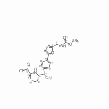 CC(C)(C)OC(=O)NCc1ncc(-c2ccc([C@@H](O)[C@@H](CF)NC(=O)C(Cl)Cl)cc2)o1